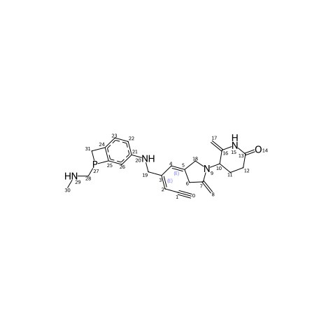 C#C/C=C(\C=C1/CC(=C)N(C2CCC(=O)NC2=C)C1)CNc1ccc2c(c1)P(CNC)C2